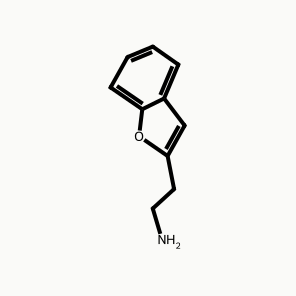 NCCc1cc2ccccc2o1